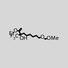 C=C(OCC)C(O)(CCCCCCOCOC)C(F)(F)F